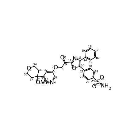 COC1(c2cncc(OCC(=O)c3nc(-c4ccccc4)c(-c4ccc(S(N)(=O)=O)cc4)o3)c2)CCOCC1